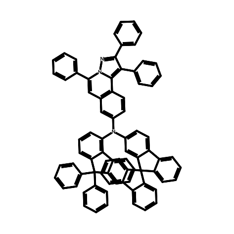 c1ccc(-c2nn3c(-c4ccccc4)cc4cc(N(c5ccc6c(c5)C5(c7ccccc7-c7ccccc75)c5ccccc5-6)c5cccc6c5-c5ccccc5C6(c5ccccc5)c5ccccc5)ccc4c3c2-c2ccccc2)cc1